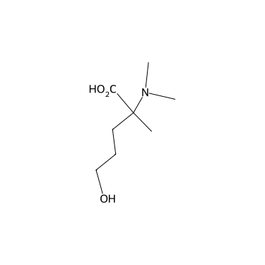 CN(C)C(C)(CCCO)C(=O)O